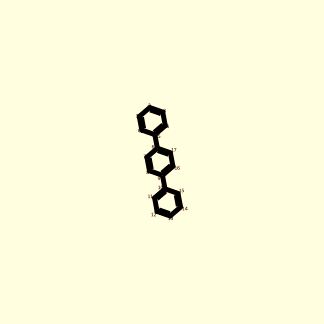 [c]1ccccc1-c1[c]cc(-c2ccccc2)cc1